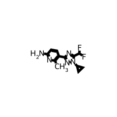 Cc1nc(N)ccc1-c1nc(C(F)F)n(C2CC2)n1